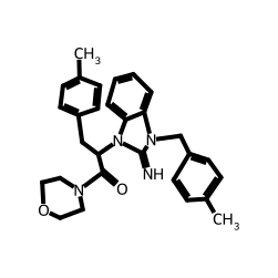 Cc1ccc(CC(C(=O)N2CCOCC2)n2c(=N)n(Cc3ccc(C)cc3)c3ccccc32)cc1